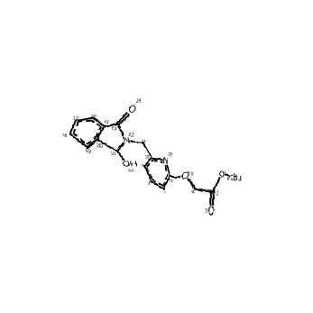 CC(C)(C)OC(=O)COc1cccc(CN2C(=O)c3ccccc3C2O)n1